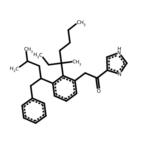 CCCCC(C)(CC)c1c(CC(=O)c2c[nH]cn2)cccc1[C](Cc1ccccc1)CC(C)C